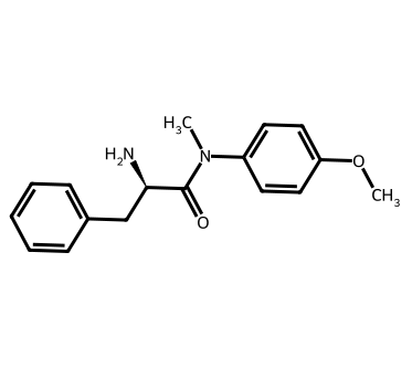 COc1ccc(N(C)C(=O)[C@H](N)Cc2ccccc2)cc1